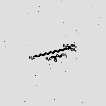 C=CC(=O)OCC.CCCCCCCCCCCCCCCC(C)(C)N